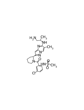 Cc1cn2nc([C@@H]3CCCCN3C(=O)c3cc(Cl)ccc3NS(C)(=O)=O)cc2nc1NC(C)CN